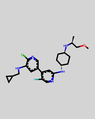 COC[C@H](C)N[C@H]1CC[C@H](Nc2cc(-c3cnc(Cl)c(NCC4CC4)c3)c(F)cn2)CC1